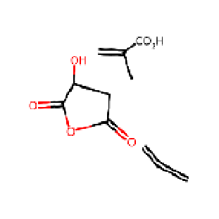 C=C(C)C(=O)O.C=C=C.O=C1CC(O)C(=O)O1